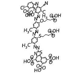 Cc1cc(N=Nc2cc(OCCCS(=O)(=O)O)c(N=Nc3c(C)c(C#N)c4nc5ccc(Cl)c(S(=O)(=O)O)c5n4c3O)cc2C)c(SCCCS(=O)(=O)O)cc1N=Nc1nc2c(S(=O)(=O)O)cc3c(S(=O)(=O)O)cc(S(=O)(=O)O)cc3c2s1